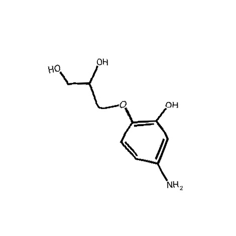 Nc1ccc(OCC(O)CO)c(O)c1